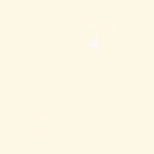 CCOC(=O)C=CCC1CCC2(CC1)CCN(C(=O)OC(C)(C)C)CC2